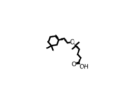 CC1(C)CCCC(CCOC(C)(C)CCCC(=O)O)C1